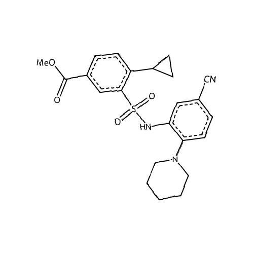 COC(=O)c1ccc(C2CC2)c(S(=O)(=O)Nc2cc(C#N)ccc2N2CCCCC2)c1